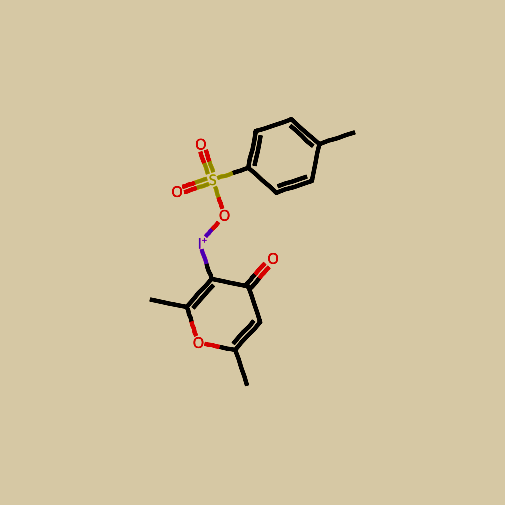 Cc1ccc(S(=O)(=O)O[I+]c2c(C)oc(C)cc2=O)cc1